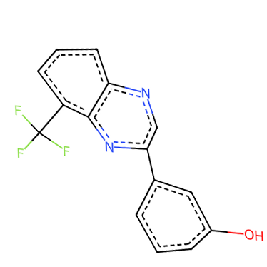 Oc1cccc(-c2cnc3cccc(C(F)(F)F)c3n2)c1